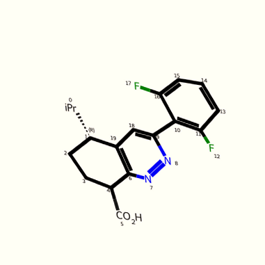 CC(C)[C@H]1CCC(C(=O)O)c2nnc(-c3c(F)cccc3F)cc21